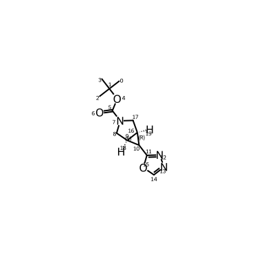 CC(C)(C)OC(=O)N1C[C@@H]2C(c3nnco3)[C@@H]2C1